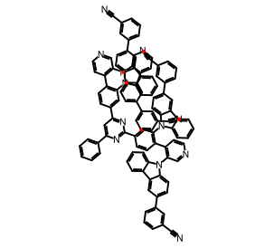 N#Cc1cccc(-c2ccc3c(c2)c2ccccc2n3-c2cnccc2-c2ccc(-c3cc(-c4ccccc4)nc(-c4ccc(-c5ccncc5-n5c6ccccc6c6cc(-c7cccc(C#N)c7)ccc65)c(-n5c6ccccc6c6cc(-c7cccc(C#N)c7)ccc65)c4)n3)cc2-n2c3ccccc3c3cc(-c4cccc(C#N)c4)ccc32)c1